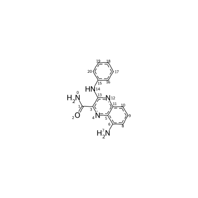 NC(=O)c1nc2c(N)cccc2nc1Nc1ccccc1